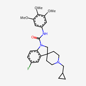 COc1cc(NC(=O)N2CC3(CCN(CC4CC4)CC3)c3cc(F)ccc32)cc(OC)c1OC